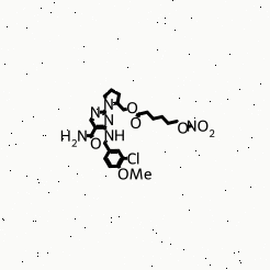 COc1ccc(CNc2nc(N3CCCC3COC(=O)CCCCCO[N+](=O)[O-])ncc2C(N)=O)cc1Cl